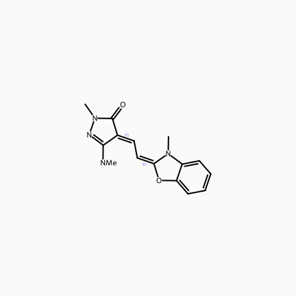 CNC1=NN(C)C(=O)/C1=C/C=C1/Oc2ccccc2N1C